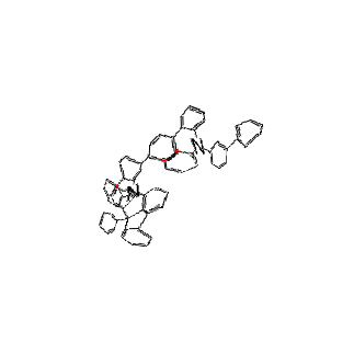 c1ccc(-c2cccc(N(c3ccccc3)c3ccccc3-c3ccc(-c4ccc5c6ccccc6n(-c6cccc7c6C(c6ccccc6)(c6ccccc6)c6ccccc6-7)c5c4)cc3)c2)cc1